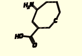 NC1CCCCCC(C(=O)O)C1